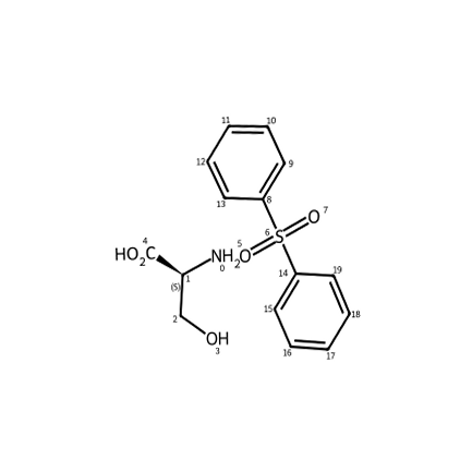 N[C@@H](CO)C(=O)O.O=S(=O)(c1ccccc1)c1ccccc1